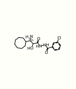 N[C@H](C1CCCCCCC1)C(O)C(=O)NNC(=O)c1cccc(Cl)c1